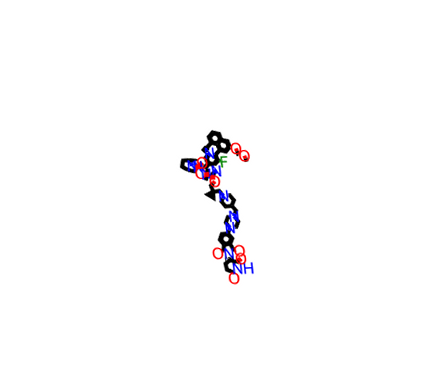 C#Cc1cccc2cc(OCOC)cc(-c3ncc4c(N5CC6CCC(C5)N6C(=O)OC(C)(C)C)nc(OCC5(CN6CCC(CN7CCN(c8ccc9c(c8)C(=O)N([C@H]8CCC(=O)NC8=O)C9=O)CC7)CC6)CC5)nc4c3F)c12